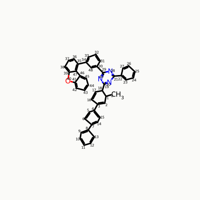 CC1C=C(c2ccc(-c3ccccc3)cc2)C=CC1c1nc(-c2ccccc2)nc(-c2cccc(-c3cccc4oc5ccccc5c34)c2)n1